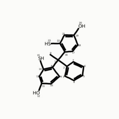 CC(c1ccccc1)(c1ccc(O)cc1S)c1ccc(O)cc1S